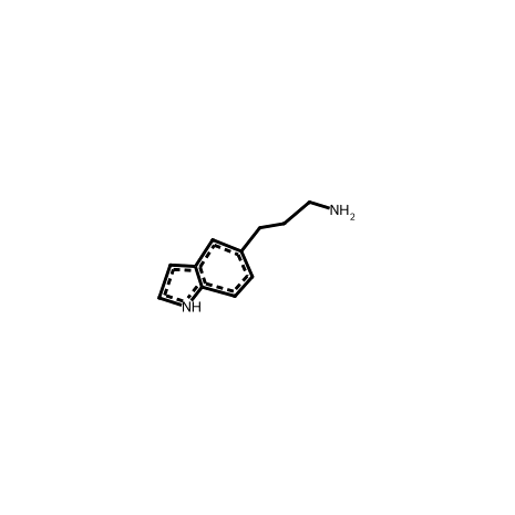 NCCCc1ccc2[nH]ccc2c1